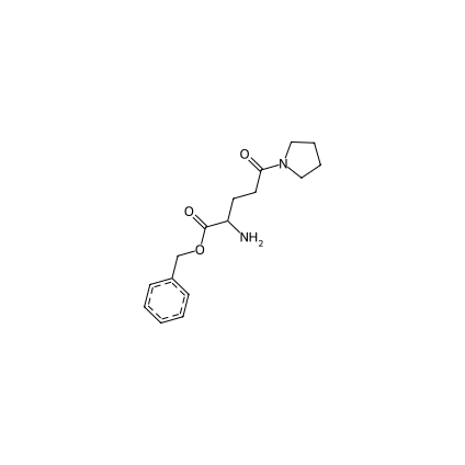 NC(CCC(=O)N1CCCC1)C(=O)OCc1ccccc1